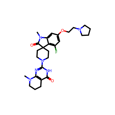 CN1CCCc2c1nc(N1CCC3(CC1)C(=O)N(C)c1cc(OCCN4CCCC4)cc(F)c13)[nH]c2=O